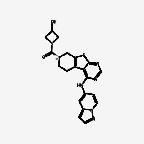 O=C([C@H]1CCc2c(sc3ncnc(Nc4ccn5nccc5c4)c23)C1)N1CC(O)C1